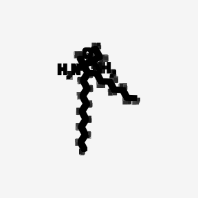 CCCCCCCCCCC(CCCCCCC)C(C)(N)C1(N)CCO1